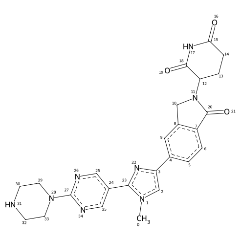 Cn1cc(-c2ccc3c(c2)CN(C2CCC(=O)NC2=O)C3=O)nc1-c1cnc(N2CCNCC2)nc1